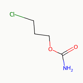 NC(=O)OCCCCl